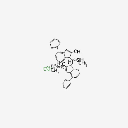 CCCCCC.C[SiH2][Hf+2]([CH]1C(C)=Cc2c(-c3ccccc3)cccc21)[CH]1C(C)=Cc2c(-c3ccccc3)cccc21.[Cl-].[Cl-]